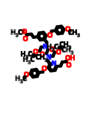 COC(=O)CCc1ccc(OCc2ccc(OC)cc2)c(CN(CCN(CC(=O)OC(C)(C)C)Cc2nc(CCC(=O)O)ccc2OCc2ccc(OC)cc2)CC(=O)OC(C)(C)C)c1